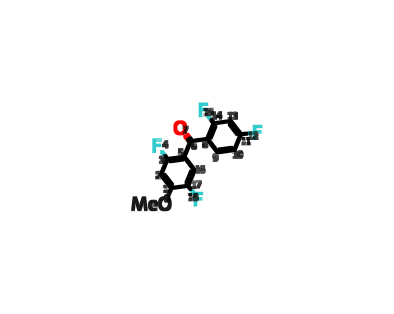 COc1cc(F)c(C(=O)c2ccc(F)cc2F)cc1F